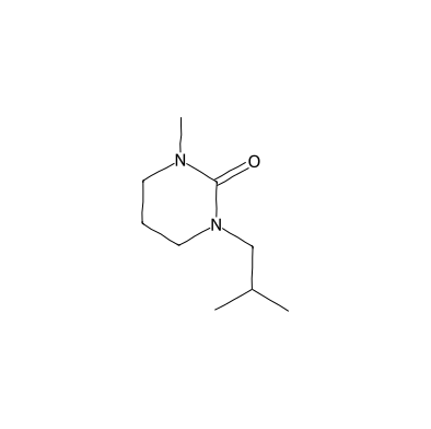 CC(C)CN1CCCN(C)C1=O